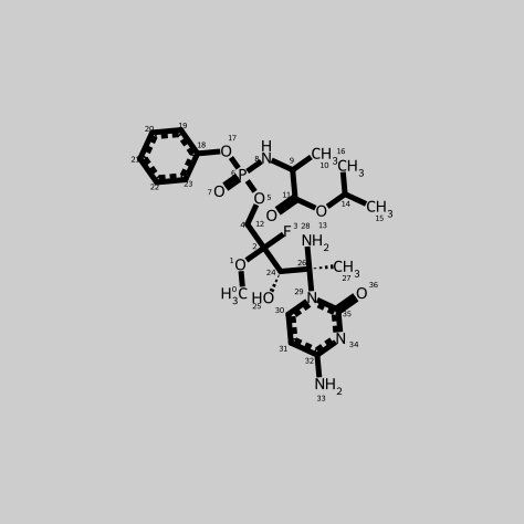 COC(F)(COP(=O)(NC(C)C(=O)OC(C)C)Oc1ccccc1)[C@@H](O)[C@@](C)(N)n1ccc(N)nc1=O